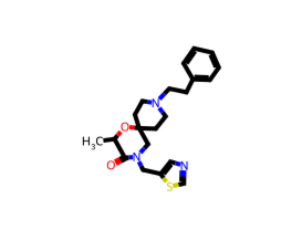 CC1OC2(CCN(CCc3ccccc3)CC2)CN(Cc2cncs2)C1=O